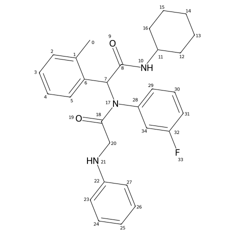 Cc1ccccc1C(C(=O)NC1CCCCC1)N(C(=O)CNc1ccccc1)c1cccc(F)c1